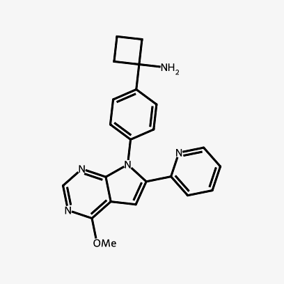 COc1ncnc2c1cc(-c1ccccn1)n2-c1ccc(C2(N)CCC2)cc1